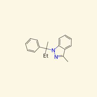 [CH2]CC(C)(c1ccccc1)n1nc(C)c2ccccc21